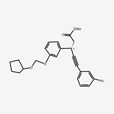 COC(=O)C[C@H](C#Cc1cccc(C(C)=O)c1)c1cccc(OCOC2CCCC2)c1